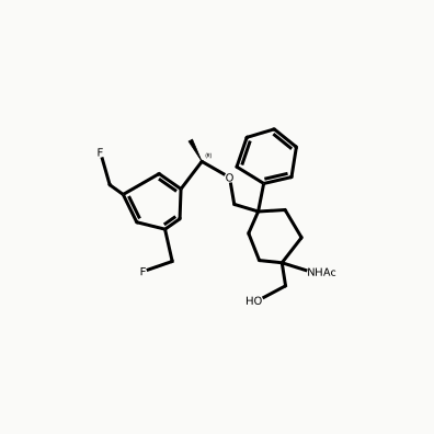 CC(=O)NC1(CO)CCC(CO[C@H](C)c2cc(CF)cc(CF)c2)(c2ccccc2)CC1